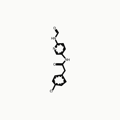 O=CNc1ccc(NC(=O)Cc2ccc(Cl)cc2)cn1